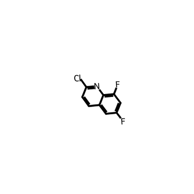 Fc1cc(F)c2nc(Cl)ccc2c1